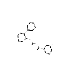 Cc1cccc(C(=O)NC(=S)Nc2ccccc2-c2ccccc2)c1